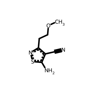 COCCc1nsc(N)c1C#N